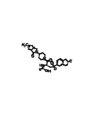 CN1C=C2C(=O)N(C3CCN(C(=O)[C@@H](CS(=O)(=O)c4ccc5cc(Cl)ccc5c4)NC(=O)O)CC3)CN2C1